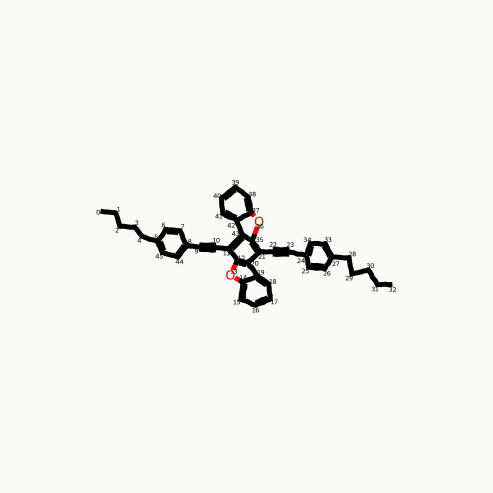 CCCCCc1ccc(C#Cc2c3oc4ccccc4c3c(C#Cc3ccc(CCCCC)cc3)c3oc4ccccc4c23)cc1